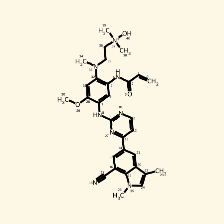 C=CC(=O)Nc1cc(Nc2nccc(-c3cc(C#N)c4c(c3)c(C)cn4C)n2)c(OC)cc1N(C)CC[N+](C)(C)O